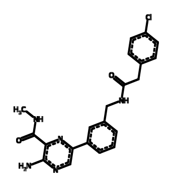 CNC(=O)c1nc(-c2cccc(CNC(=O)Cc3ccc(Cl)cc3)c2)cnc1N